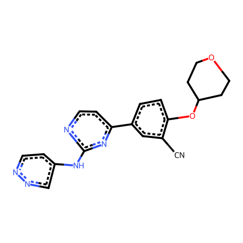 N#Cc1cc(-c2ccnc(Nc3ccnnc3)n2)ccc1OC1CCOCC1